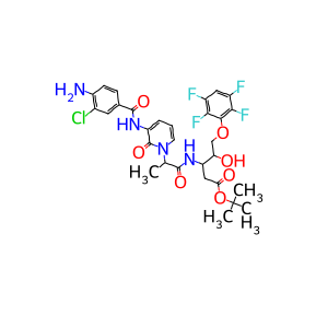 CC(C(=O)NC(CC(=O)OC(C)(C)C)C(O)COc1c(F)c(F)cc(F)c1F)n1cccc(NC(=O)c2ccc(N)c(Cl)c2)c1=O